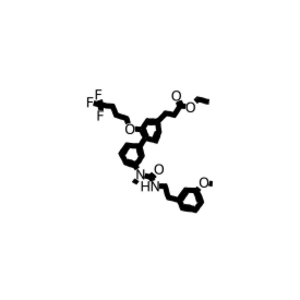 CCOC(=O)CCc1ccc(-c2cccc(N(C)C(=O)NCCc3cccc(OC)c3)c2)c(OCCCC(F)(F)F)c1